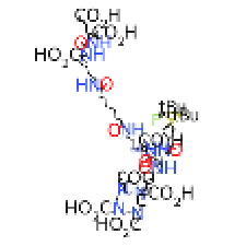 CC(C)(C)[C@H](F)[S+](c1ccc(C(=O)NC[C@H](NC(=O)CC[C@@H](C(=O)O)N2CCN(CC(=O)[O-])CCN(CC(=O)O)CCN(CC(=O)O)CC2)C(=O)N[C@@H](/C=C\CCNC(=O)CCCCCCC(=O)NCCCC[C@H](NC(=O)N[C@@H](CCCC(=O)O)C(=O)O)C(=O)O)C(=O)O)cc1)C(C)(C)C